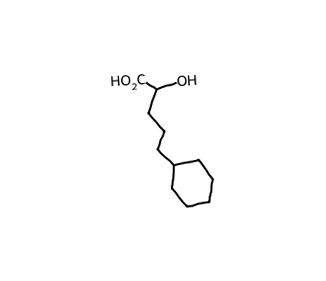 O=C(O)C(O)CCCC1CCCCC1